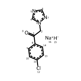 O=C(Cn1cncn1)c1ccc(Cl)cc1.[H-].[Na+]